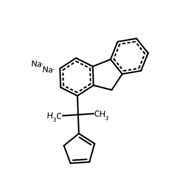 CC(C)(C1=CC=CC1)c1cccc2c1Cc1ccccc1-2.[Na].[Na]